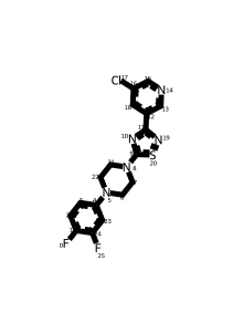 Fc1ccc(N2CCN(c3nc(-c4cncc(Cl)c4)ns3)CC2)cc1F